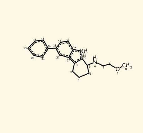 COCCNC1CCCc2c1[nH]c1ccc(-c3ccccc3)cc21